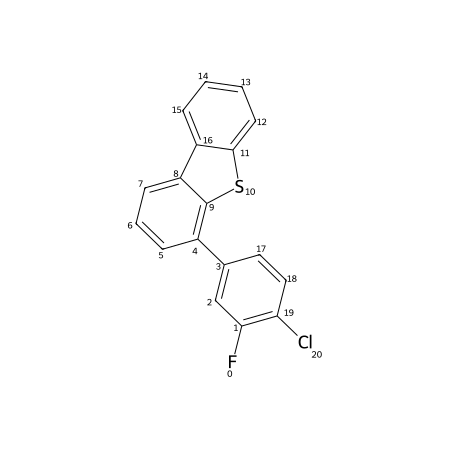 Fc1cc(-c2cccc3c2sc2ccccc23)ccc1Cl